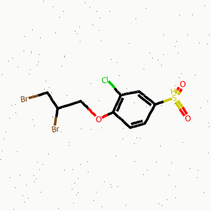 O=[SH](=O)c1ccc(OCC(Br)CBr)c(Cl)c1